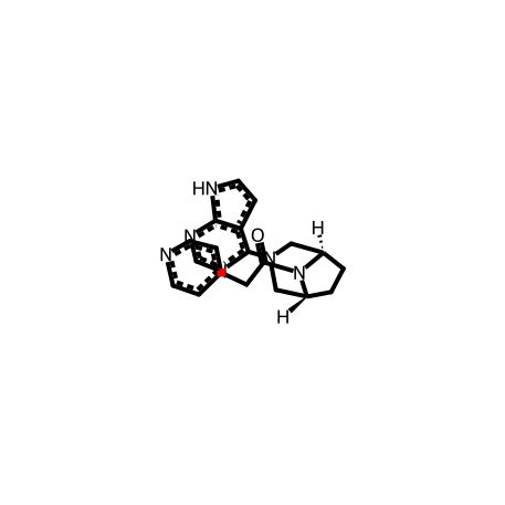 O=C(Cc1ccncc1)N1[C@@H]2CC[C@@H]1CN(c1ncnc3[nH]ccc13)C2